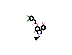 O=C(Cc1ccc(Cl)c(Cl)c1)N[C@H]1CC[C@@H]2CN(CC3CC3)CC[C@@]2(c2cccc(O)c2)C1